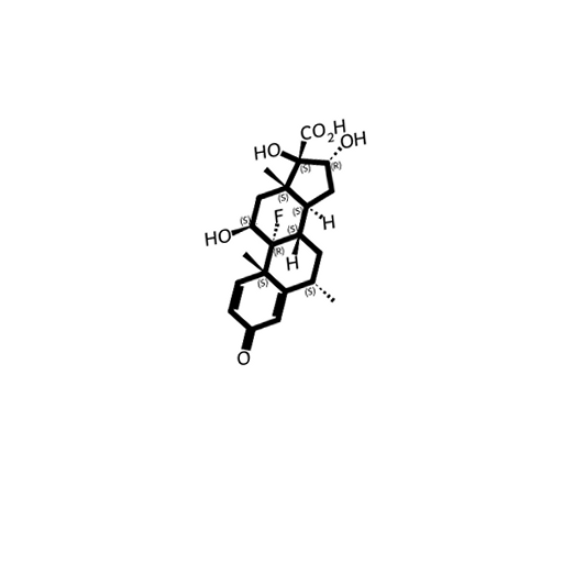 C[C@H]1C[C@H]2[C@@H]3C[C@@H](O)[C@](O)(C(=O)O)[C@@]3(C)C[C@H](O)[C@]2(F)[C@@]2(C)C=CC(=O)C=C12